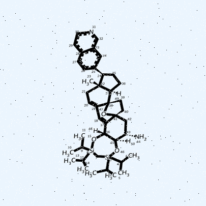 CC(C)[Si]1(C(C)C)C[Si](C(C)C)(C(C)C)O[C@@H]2C3=CC4=CC[C@]5(C)[C@@H](c6ccc7ccncc7c6)CC[C@H]5[C@@]45CC[C@]3(C[C@H](N)[C@H]2O1)O5